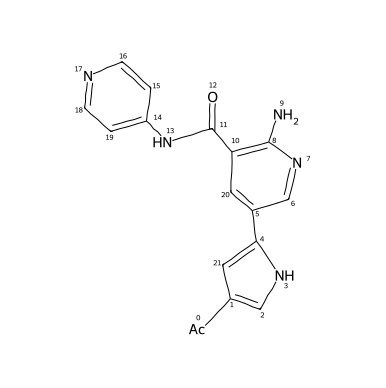 CC(=O)c1c[nH]c(-c2cnc(N)c(C(=O)Nc3ccncc3)c2)c1